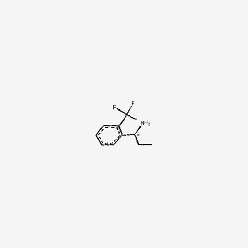 CC[C@H](N)c1ccccc1C(F)(F)F